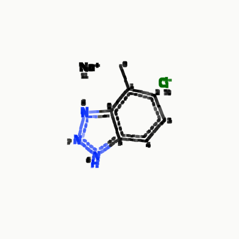 Cc1cccc2[nH]nnc12.[Cl-].[Na+]